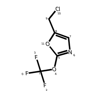 FC(F)(F)Oc1ncc(CCl)o1